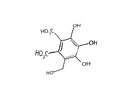 O=C(O)c1c(O)c(O)c(O)c(CO)c1C(=O)O